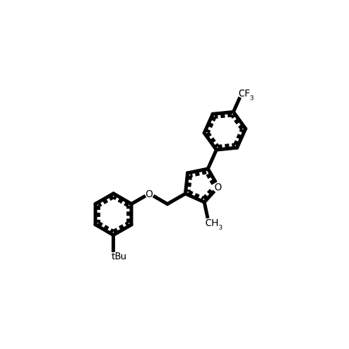 Cc1oc(-c2ccc(C(F)(F)F)cc2)cc1COc1cccc(C(C)(C)C)c1